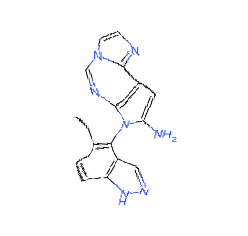 Cc1ccc2[nH]ncc2c1-n1c(N)cc2c1ncn1ccnc21